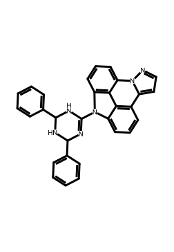 c1ccc(C2N=C(n3c4cccc5c4c4c3cccc4n3nccc53)NC(c3ccccc3)N2)cc1